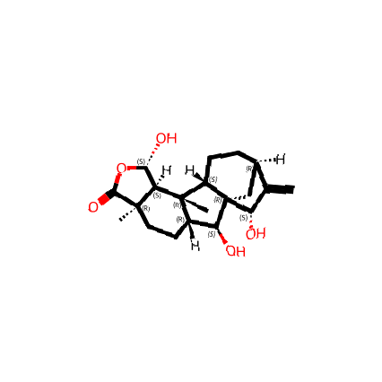 C=C1[C@@H]2CC[C@H]3[C@]4(C)[C@@H](CC[C@@]5(C)C(=O)O[C@H](O)[C@@H]45)[C@H](O)[C@]3(C2)[C@H]1O